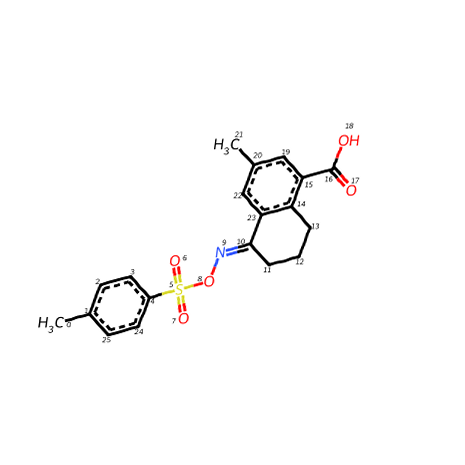 Cc1ccc(S(=O)(=O)ON=C2CCCc3c(C(=O)O)cc(C)cc32)cc1